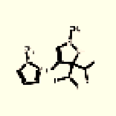 CN1C=C(Br)C(C(F)F)(C(F)F)N1.Cn1cccn1